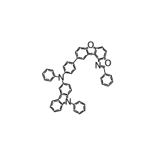 c1ccc(-c2nc3c(ccc4oc5ccc(-c6ccc(N(c7ccccc7)c7ccc8c(c7)c7ccccc7n8-c7ccccc7)cc6)cc5c43)o2)cc1